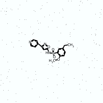 CCc1ccc(OC)c(S(=O)(=O)Nc2cc(-c3ccncc3)no2)c1